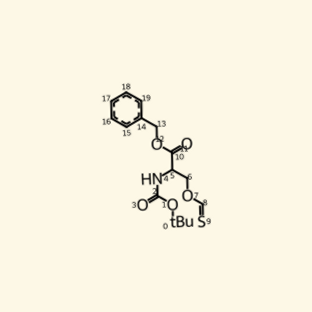 CC(C)(C)OC(=O)NC(COC=S)C(=O)OCc1ccccc1